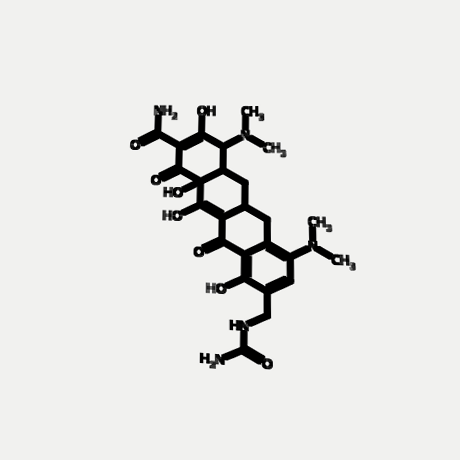 CN(C)c1cc(CNC(N)=O)c(O)c2c1CC1CC3C(N(C)C)C(O)=C(C(N)=O)C(=O)C3(O)C(O)=C1C2=O